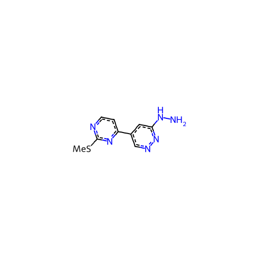 CSc1nccc(-c2cnnc(NN)c2)n1